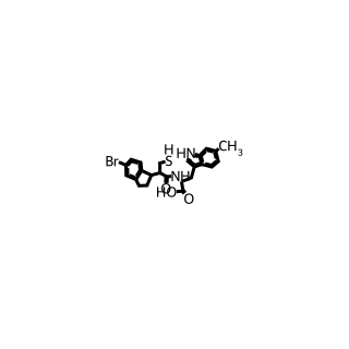 Cc1ccc2c(CC(NC(=O)C(CS)C3CCc4cc(Br)ccc43)C(=O)O)c[nH]c2c1